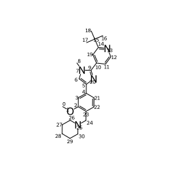 COc1cc(-c2cn(C)c(-c3ccnc(C(C)(C)C)c3)n2)ccc1CN1CCCCC1